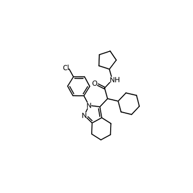 O=C(NC1CCCC1)C(c1c2c(nn1-c1ccc(Cl)cc1)CCCC2)C1CCCCC1